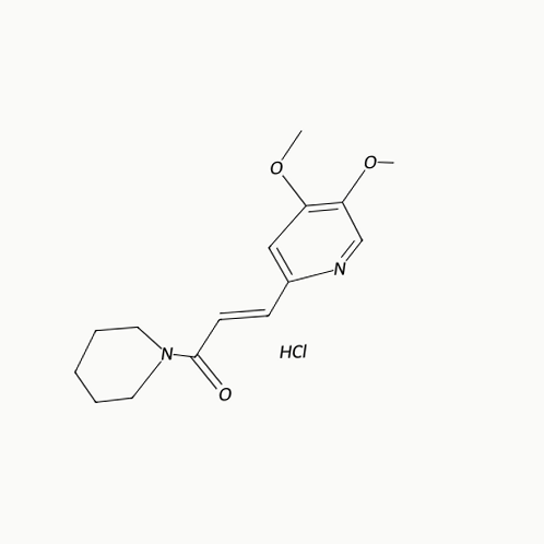 COc1cnc(/C=C/C(=O)N2CCCCC2)cc1OC.Cl